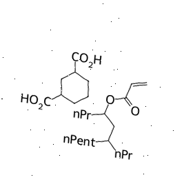 C=CC(=O)OC(CCC)CC(CCC)CCCCC.O=C(O)C1CCCC(C(=O)O)C1